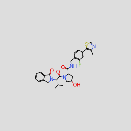 Cc1ncsc1-c1ccc(CNC(=O)[C@@H]2C[C@@H](O)CN2C(=O)[C@H](C(C)C)N2Cc3ccccc3C2=O)c(F)c1